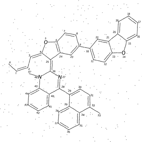 C\C=C/C=c1/oc2ccc(-c3ccc4oc5ccccc5c4c3)cc2/c1=C1\N=C(c2ccc(C)c3ccccc23)c2ccccc2N1C